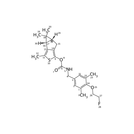 Cc1cc(CNC(=O)Oc2sc(C)c3c2C[C@@H]2[C@H]3C2(C)C)cc(C)c1OCCF